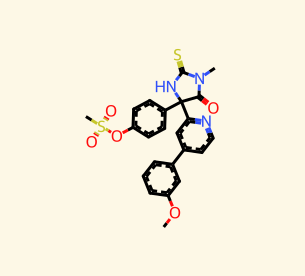 COc1cccc(-c2ccnc(C3(c4ccc(OS(C)(=O)=O)cc4)NC(=S)N(C)C3=O)c2)c1